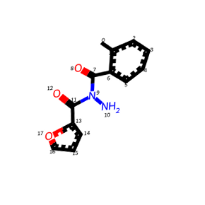 Cc1ccccc1C(=O)N(N)C(=O)c1ccco1